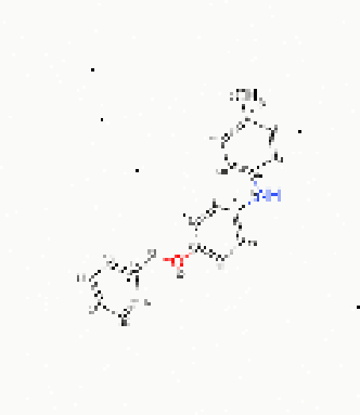 Cc1ccc(Nc2ccc(OCc3ccccc3)cc2)cc1